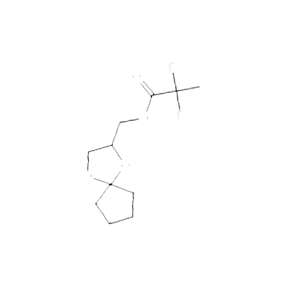 CC(F)(F)C(=O)OCC1COC2(CCCC2)O1